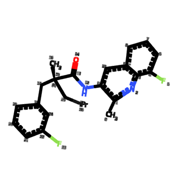 Cc1nc2c(F)cccc2cc1NC(=O)[C@@](C)(Cc1cccc(F)c1)CC(C)C